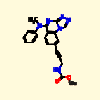 CN(c1ccccc1)c1nc2nncn2c2cc(C#CCNC(=O)OC(C)(C)C)ccc12